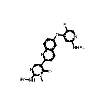 CC(=O)Nc1cc(Oc2ccc3nc(-c4cnc(NC(C)C)n(C)c4=O)ccc3c2)c(F)cn1